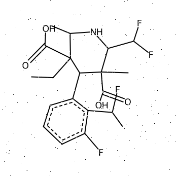 CCC1(C(=O)O)C(C)NC(C(F)F)C(C)(C(=O)O)C1c1cccc(F)c1C(C)F